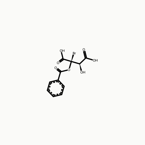 O=C(O[C@](Br)(C(=O)O)[C@H](O)C(=O)O)c1ccccc1